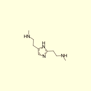 CNCCc1cnc(CCNC)[nH]1